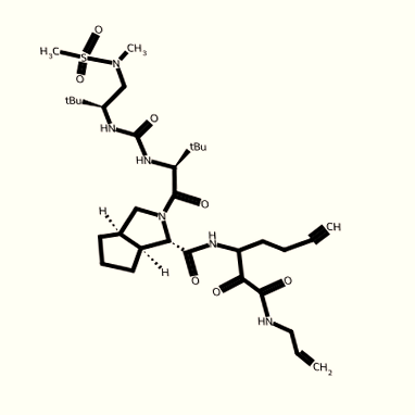 C#CCCC(NC(=O)[C@@H]1[C@H]2CCC[C@H]2CN1C(=O)[C@@H](NC(=O)N[C@H](CN(C)S(C)(=O)=O)C(C)(C)C)C(C)(C)C)C(=O)C(=O)NCC=C